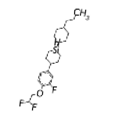 CCCC1CCC([SiH]2CCC(c3ccc(OCC(F)F)c(F)c3)CC2)CC1